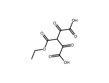 CCOC(=O)C(C(=O)C(=O)O)C(=O)C(=O)O